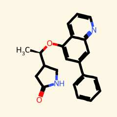 C[C@@H](Oc1cc(-c2ccccc2)cc2ncccc12)C1CNC(=O)C1